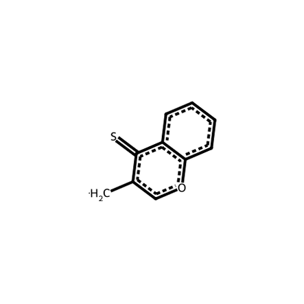 [CH2]c1coc2ccccc2c1=S